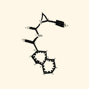 N#CC1CN1C(=O)NC(=O)c1ccc2ccccc2c1